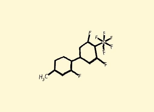 CC1CCC(C2CC(F)C(S(F)(F)(F)(F)F)C(F)C2)C(F)C1